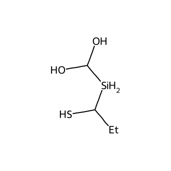 CCC(S)[SiH2]C(O)O